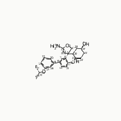 NC1=NC2(CO1)c1cc(-c3cccc(OC(F)F)c3)ccc1O[C@H]1CC[C@H](O)CC12